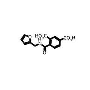 O=C(O)c1ccc(C(=O)NCc2ccco2)c(C(=O)O)c1